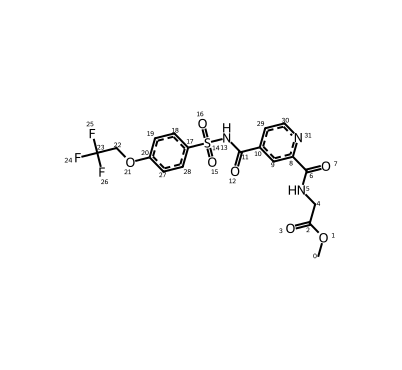 COC(=O)CNC(=O)c1cc(C(=O)NS(=O)(=O)c2ccc(OCC(F)(F)F)cc2)ccn1